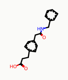 O=C(O)CCc1ccc(CC(=O)NCc2ccccc2)cc1